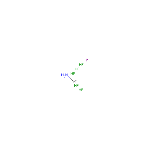 CC(C)N.F.F.F.F.F.[P]